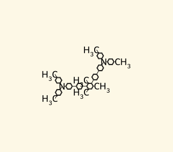 Cc1ccc(N(c2ccc(C)cc2)c2ccc(-c3ccc(-c4c(C)cc(C)c(-c5ccc(-c6ccc(N(c7ccc(C)cc7)c7ccc(C)cc7)cc6)cc5)c4C)cc3)cc2)cc1